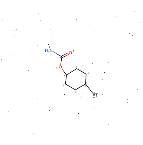 CC(C)C1CCC(OC(N)=O)CC1